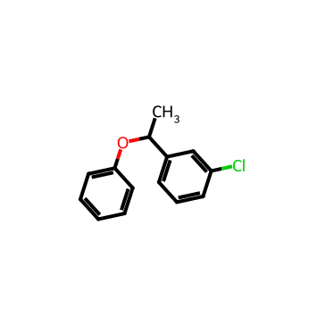 CC(Oc1ccccc1)c1cccc(Cl)c1